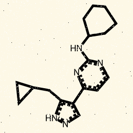 c1cc(-c2cn[nH]c2CC2CC2)nc(NC2CCCCC2)n1